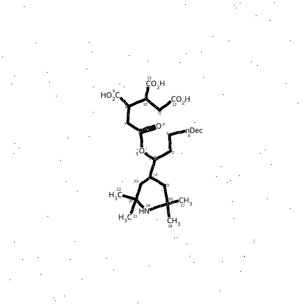 CCCCCCCCCCCCC(OC(=O)CC(C(=O)O)C(CC(=O)O)C(=O)O)C1CC(C)(C)NC(C)(C)C1